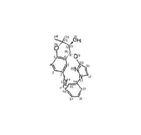 [C-]#[N+]c1ccc2c(c1)[C@@H](Oc1ccn(-c3ccccc3)n1)[C@H](O)C(C)(C)O2